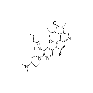 CCCSNc1cc(-c2c(F)cc3ncc4c5c3c2OCC(C)n5c(=O)n4C)cnc1N1CCC(N(C)C)CC1